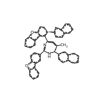 CC1=C=C(c2c(-c3ccc4ccccc4c3)ccc3oc4ccccc4c23)N=C(c2ccc3oc4ccccc4c3c2)NC1c1ccc2ccccc2c1